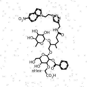 CCCCCC[C@H](OC1C(OC(=O)c2ccccc2)[C@H](OCC(O[C@@H]2OC(C)[C@@H](O)C(O)C2O)C(C)CCC(=O)NCc2cn(CCn3ccc4cc([N+](=O)[O-])ccc43)nn2)OC(CO)[C@@H]1O)C(=O)O